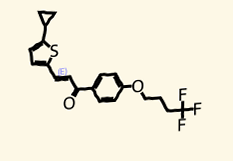 O=C(/C=C/c1ccc(C2CC2)s1)c1ccc(OCCCC(F)(F)F)cc1